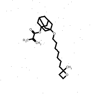 C=C(C)C(=O)OC12CC3CC(CC(OCCCCCCCC4(C)CCO4)(C3)C1)C2